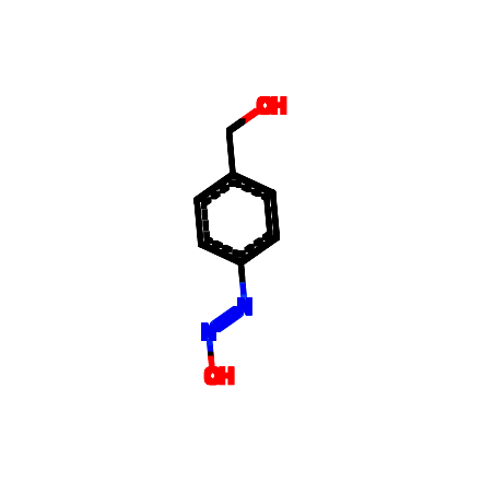 OCc1ccc(N=NO)cc1